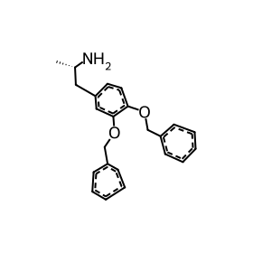 C[C@H](N)Cc1ccc(OCc2ccccc2)c(OCc2ccccc2)c1